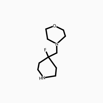 FC1(CN2CCOCC2)CCNCC1